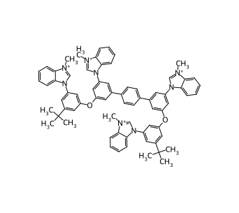 C[n+]1cn(-c2cc(Oc3cc(-n4c[n+](C)c5ccccc54)cc(C(C)(C)C)c3)cc(-c3ccc(-c4cc(Oc5cc(-n6c[n+](C)c7ccccc76)cc(C(C)(C)C)c5)cc(-n5c[n+](C)c6ccccc65)c4)cc3)c2)c2ccccc21